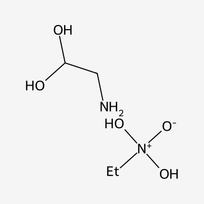 CC[N+]([O-])(O)O.NCC(O)O